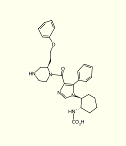 O=C(O)N[C@H]1CCCC[C@@H]1n1cnc(C(=O)N2CCNC[C@H]2CCOc2ccccc2)c1-c1ccccc1